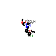 C=CCOC1(C)CCN(c2c(C(OC(C)(C)C)C(=O)O)c(C)nc3cc(-c4cccc(-c5cc(C)c(Cl)cc5O[C@@H](C)CC=C)c4)nn23)CC1